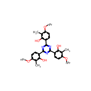 CCCOc1ccc(-c2nc(-c3ccc(OCCC)c(C)c3O)nc(-c3ccc(OCCC)c(C)c3O)n2)c(O)c1C